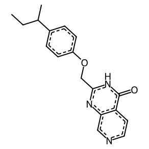 CCC(C)c1ccc(OCc2nc3cnccc3c(=O)[nH]2)cc1